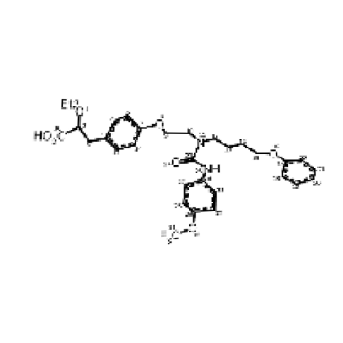 CCOC(Cc1ccc(OCCN(CCCCOc2ccccc2)C(=O)Nc2ccc(OC(F)(F)F)cc2)cc1)C(=O)O